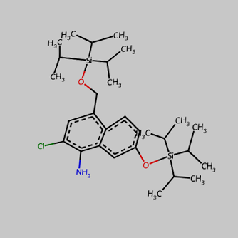 CC(C)[Si](OCc1cc(Cl)c(N)c2cc(O[Si](C(C)C)(C(C)C)C(C)C)ccc12)(C(C)C)C(C)C